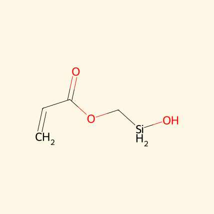 C=CC(=O)OC[SiH2]O